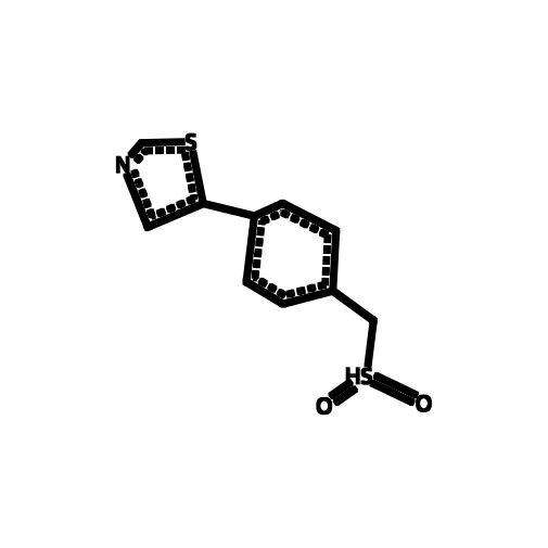 O=[SH](=O)Cc1ccc(-c2cncs2)cc1